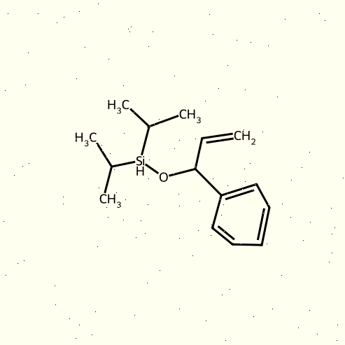 C=CC(O[SiH](C(C)C)C(C)C)c1ccccc1